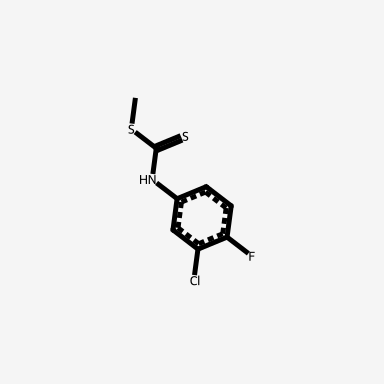 CSC(=S)Nc1ccc(F)c(Cl)c1